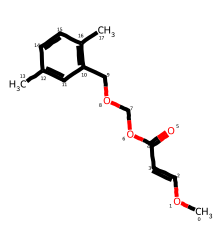 COC=CC(=O)OCOCc1cc(C)ccc1C